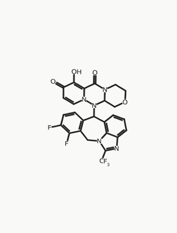 O=C1c2c(O)c(=O)ccn2N(C2c3ccc(F)c(F)c3Cn3c(C(F)(F)F)nc4cccc2c43)C2COCCN12